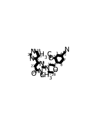 COc1cc(C#N)ccc1[C@H]1CN(c2nc(-c3ccncn3)cc(=O)n2C)CCO1